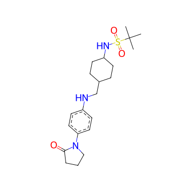 CC(C)(C)S(=O)(=O)NC1CCC(CNc2ccc(N3CCCC3=O)cc2)CC1